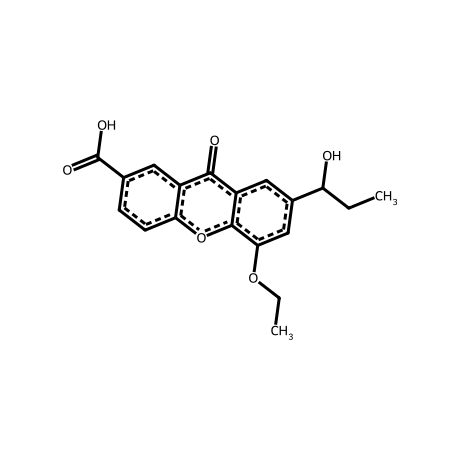 CCOc1cc(C(O)CC)cc2c(=O)c3cc(C(=O)O)ccc3oc12